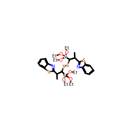 CCO[Si](OCC)(OCC)C(SSC(C(C)c1nc2ccccc2s1)[Si](OCC)(OCC)OCC)C(C)c1nc2ccccc2s1